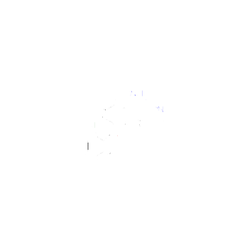 NC(c1ccc(F)c(Oc2ccccc2)c1F)C1CCCNC1